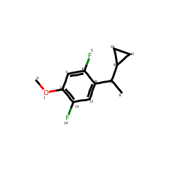 COc1cc(F)c(C(C)C2CC2)cc1F